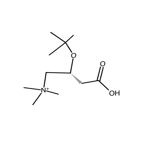 CC(C)(C)O[C@H](CC(=O)O)C[N+](C)(C)C